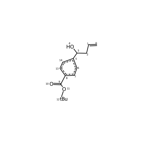 C=CCC(O)c1ccc(C(=O)OC(C)(C)C)cc1